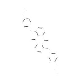 O=C1c2cccc(Nc3ccc(CCO)cc3)c2C(=O)c2cccc(Nc3ccc(CCO)cc3)c21